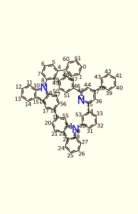 c1ccc(-c2cccc(-n3c4ccccc4c4cc(-c5ccc6c7ccccc7n(-c7cccc(-c8cc(-c9ccccc9)cc(-c9ccccc9)n8)c7)c6c5)ccc43)c2)cc1